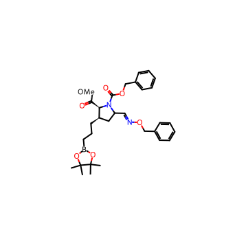 COC(=O)[C@@H]1[C@H](CCCB2OC(C)(C)C(C)(C)O2)CC(C=NOCc2ccccc2)N1C(=O)OCc1ccccc1